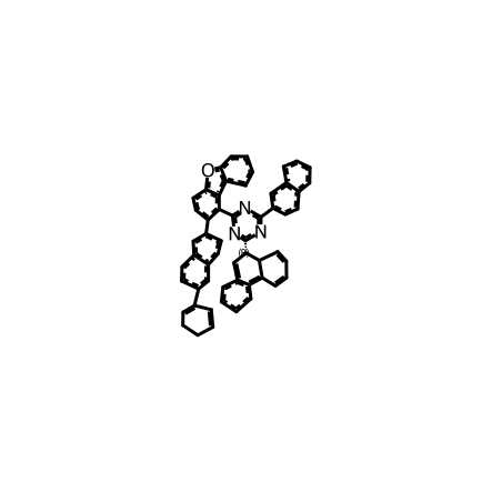 C1=CC2=c3ccccc3=C[C@H](c3nc(-c4ccc5ccccc5c4)nc(-c4c(-c5ccc6cc(C7=CCCC=C7)ccc6c5)ccc5oc6ccccc6c45)n3)C2C=C1